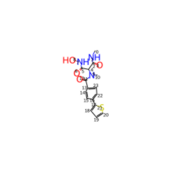 CNC(=O)C(C(=O)NO)N(C)C(=O)c1ccc(-c2cccs2)cc1